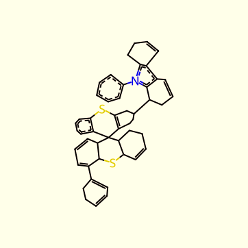 C1=CCCC(C2=CC=CC3C2SC2C=CCCC2C32C3=C(CC(C4CC=Cc5c6c(n(-c7ccccc7)c54)CCC=C6)CC3)Sc3ccccc32)=C1